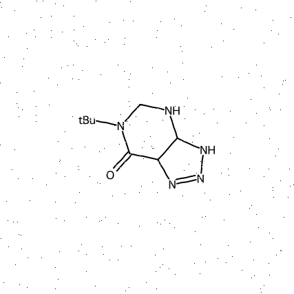 CC(C)(C)N1CNC2NN=NC2C1=O